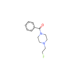 O=C(c1cc[c]cc1)N1CCN(CCF)CC1